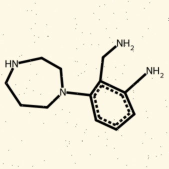 NCc1c(N)cccc1N1CCCNCC1